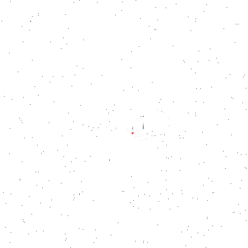 CCCCCCCCCCCCc1c2cccc1OOCC2